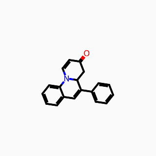 O=C1C=CN2c3ccccc3C=C(c3ccccc3)C2C1